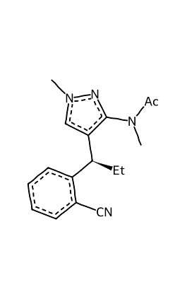 CC[C@@H](c1ccccc1C#N)c1cn(C)nc1N(C)C(C)=O